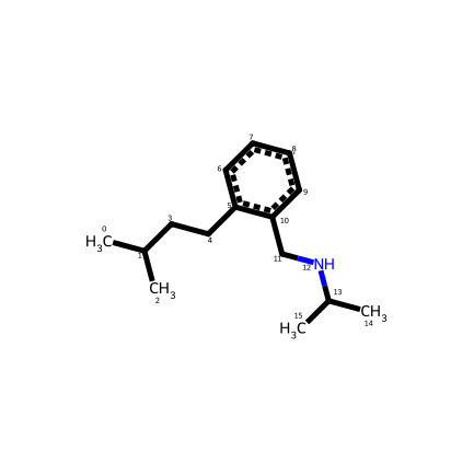 CC(C)CCc1cc[c]cc1CNC(C)C